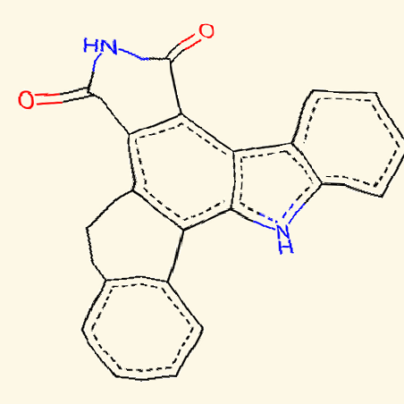 O=C1NC(=O)c2c1c1c(c3[nH]c4ccccc4c23)-c2ccccc2C1